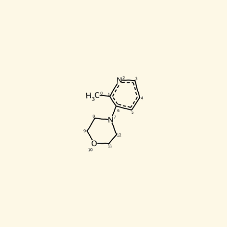 Cc1ncccc1N1CCOCC1